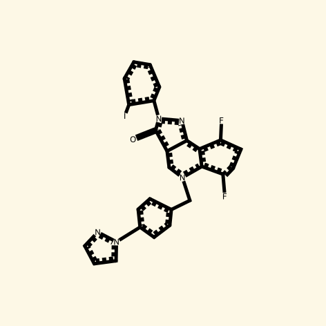 O=c1c2cn(Cc3ccc(-n4cccn4)cc3)c3c(F)ccc(F)c3c-2nn1-c1ccccc1I